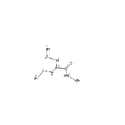 CCCCNC(=O)N([Se]CC(C)C)[Se]CC(C)C